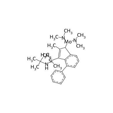 CC1=C([Si](C)(C)NC(C)(C)C)c2c(-c3ccccc3)cccc2[CH]1[Mo]([N](C)C)[N](C)C